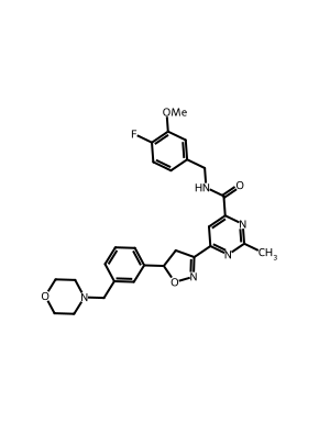 COc1cc(CNC(=O)c2cc(C3=NOC(c4cccc(CN5CCOCC5)c4)C3)nc(C)n2)ccc1F